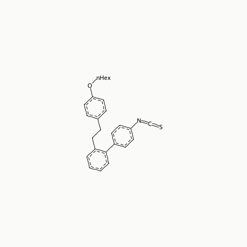 CCCCCCOc1ccc(CCc2ccccc2-c2ccc(N=C=S)cc2)cc1